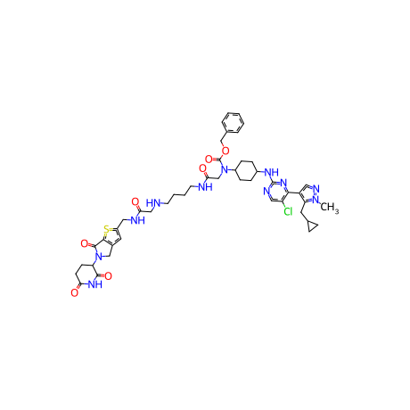 Cn1ncc(-c2nc(NC3CCC(N(CC(=O)NCCCCNCC(=O)NCc4cc5c(s4)C(=O)N(C4CCC(=O)NC4=O)C5)C(=O)OCc4ccccc4)CC3)ncc2Cl)c1CC1CC1